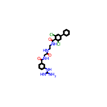 N=C(N)Nc1cccc(C(=O)NCC(=O)NCCNC(=O)c2c(Cl)cc(-c3ccccc3)cc2Cl)c1